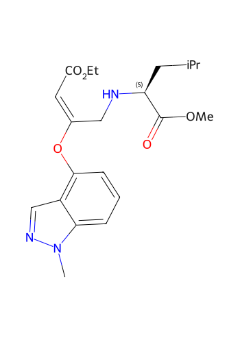 CCOC(=O)C=C(CN[C@@H](CC(C)C)C(=O)OC)Oc1cccc2c1cnn2C